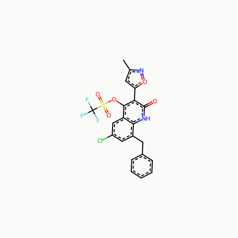 Cc1cc(-c2c(OS(=O)(=O)C(F)(F)F)c3cc(Cl)cc(Cc4ccccc4)c3[nH]c2=O)on1